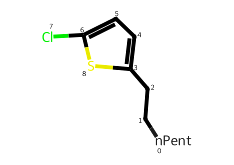 CCCCCCCc1ccc(Cl)s1